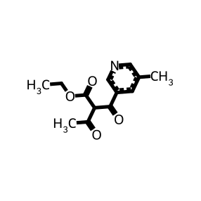 CCOC(=O)C(C(C)=O)C(=O)c1cncc(C)c1